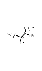 CCCCN(C(=O)OCC)[C@H](C(=O)OCC)C(C)C